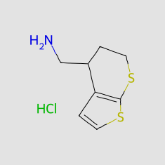 Cl.NCC1CCSc2sccc21